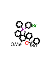 COc1ccc(C[P+](c2ccccc2)(c2ccccc2)c2ccccc2)cc1O[Si](c1ccccc1)(c1ccccc1)C(C)(C)C.[Br-]